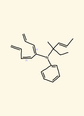 C=C/C=C\C(=C/C=C)N(c1ccccc1)C(C)(C=CC)CC